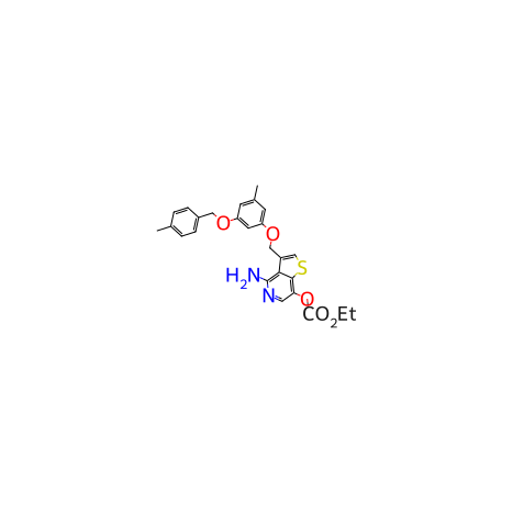 CCOC(=O)Oc1cnc(N)c2c(COc3cc(C)cc(OCc4ccc(C)cc4)c3)csc12